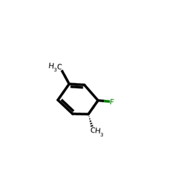 CC1=CC(F)[C@H](C)C=C1